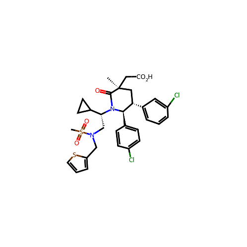 C[C@]1(CC(=O)O)C[C@H](c2cccc(Cl)c2)[C@@H](c2ccc(Cl)cc2)N([C@H](CN(Cc2cccs2)S(C)(=O)=O)C2CC2)C1=O